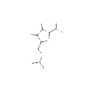 CC(C)NCC1OC(C(C)C)C(O)C1O